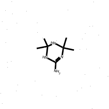 CC1(C)N=C(N)NC(C)(C)N1